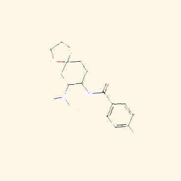 CN(C)C1CC2(CCC1NC(=O)c1ccc(Br)cc1)OCCO2